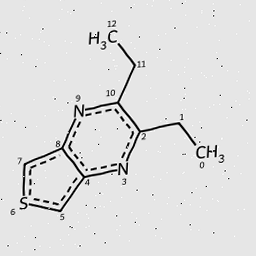 CCc1nc2cscc2nc1CC